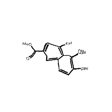 COC(=O)c1cc(O)c2c(OC)c(OC)ccc2c1